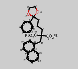 CCOC(=O)C(CCCC1(c2ccccc2)OCCO1)(Cc1cccc2ccccc12)C(=O)OCC